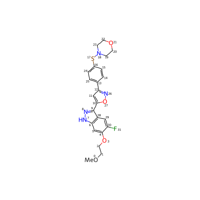 COCCOc1cc2[nH]nc(-c3cc(-c4ccc(SN5CCOCC5)cc4)no3)c2cc1F